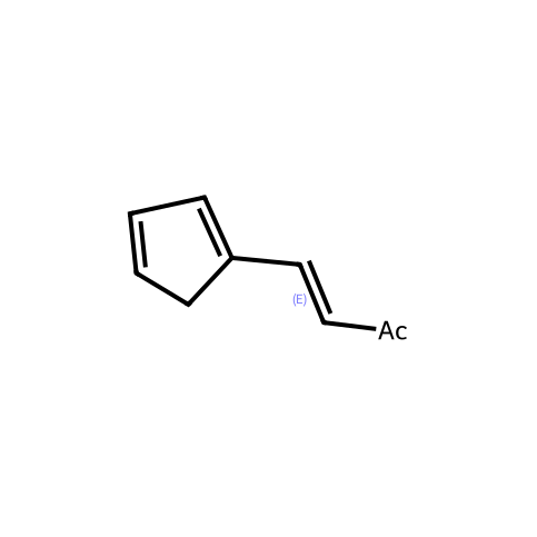 CC(=O)/C=C/C1=CC=CC1